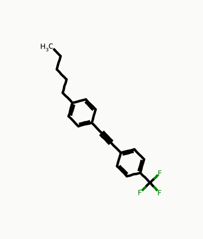 CCCCCc1ccc(C#Cc2ccc(C(F)(F)F)cc2)cc1